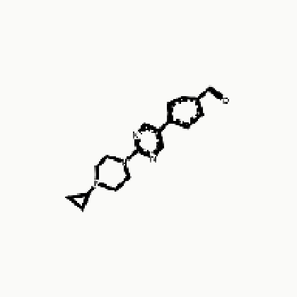 O=Cc1ccc(-c2cnc(N3CCN(C4CC4)CC3)nc2)cc1